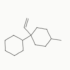 C=CC1(C2CCCCC2)CCC(C)CC1